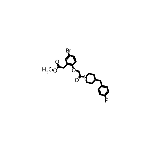 COC(=O)Cc1cc(Br)ccc1OCC(=O)N1CCC(Cc2ccc(F)cc2)CC1